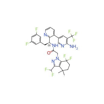 CC1(C)CCC(F)(F)c2c1c(C(F)F)nn2CC(=O)N[C@@H](Cc1cc(F)cc(F)c1)c1ncccc1-c1cnc(N)c(C(F)(F)F)c1